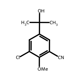 COc1c(Cl)cc(C(C)(C)O)cc1C#N